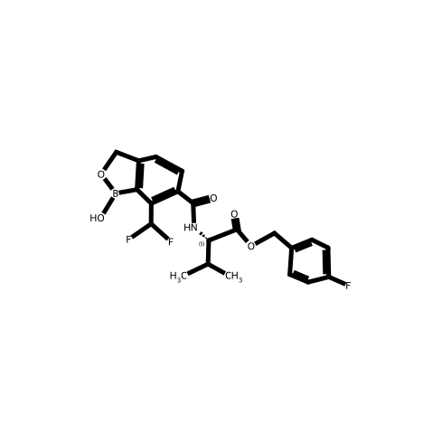 CC(C)[C@H](NC(=O)c1ccc2c(c1C(F)F)B(O)OC2)C(=O)OCc1ccc(F)cc1